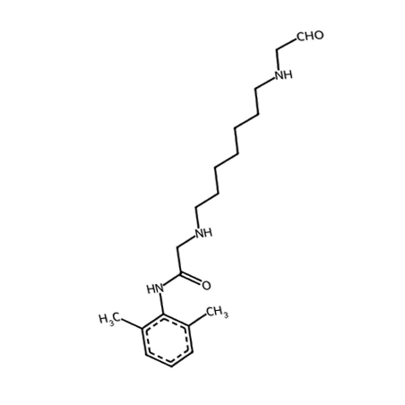 Cc1cccc(C)c1NC(=O)CNCCCCCCCNCC=O